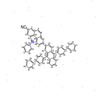 N#Cc1cc2ccc3cc(-c4ccc5c(-c6ccc(-c7ccccc7)cc6)c6ccccc6c(-c6ccc(-c7ccccc7)cc6)c5c4)cc4c3c2c(c1)n4-c1ccccc1